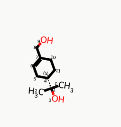 CC(C)(O)[C@@H]1CC=C(CO)CC1